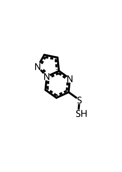 SSc1ccn2nccc2n1